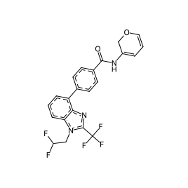 O=C(NC1=CC=COC1)c1ccc(-c2cccc3c2nc(C(F)(F)F)n3CC(F)F)cc1